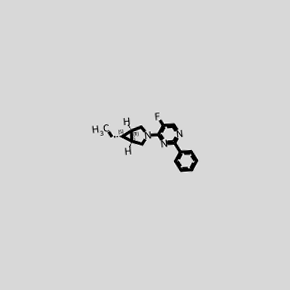 CC[C@@H]1[C@H]2CN(c3nc(-c4ccccc4)ncc3F)C[C@@H]12